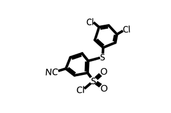 N#Cc1ccc(Sc2cc(Cl)cc(Cl)c2)c(S(=O)(=O)Cl)c1